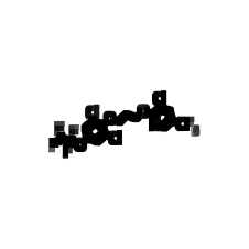 FC(F)C(F)(F)Oc1cc(Cl)c(OCCCOc2ncc(C(F)(F)F)cc2Cl)c(Cl)c1